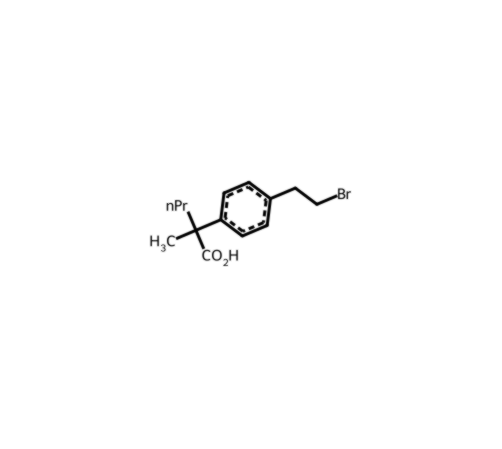 CCCC(C)(C(=O)O)c1ccc(CCBr)cc1